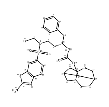 CC(C)CN(CC[C@H](Cc1ccccc1)NC(=O)OC1C2CCC3CC1OC3OC2)S(=O)(=O)c1ccc2nc(N)sc2c1